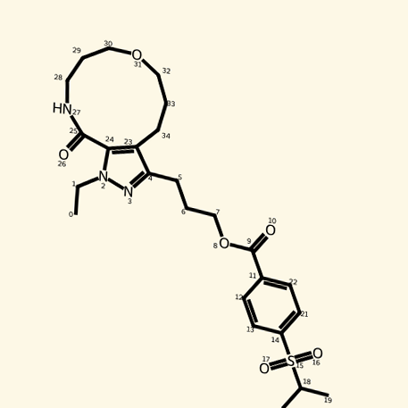 CCn1nc(CCCOC(=O)c2ccc(S(=O)(=O)C(C)C)cc2)c2c1C(=O)NCCCOCCC2